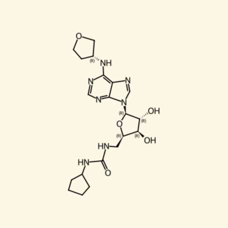 O=C(NC[C@H]1O[C@@H](n2cnc3c(N[C@@H]4CCOC4)ncnc32)[C@H](O)[C@H]1O)NC1CCCC1